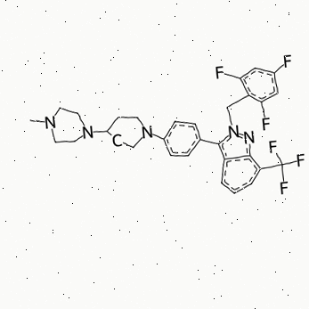 CN1CCN(C2CCN(c3ccc(-c4c5cccc(C(F)(F)F)c5nn4Cc4c(F)cc(F)cc4F)cc3)CC2)CC1